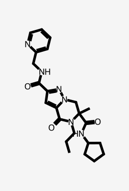 CCCN1C(=O)c2cc(C(=O)NCc3ccccn3)nn2CC1(C)C(=O)NC1CCCC1